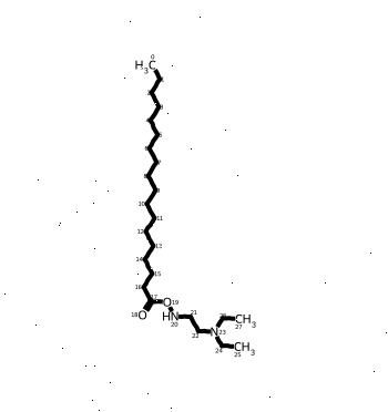 CCCCCCCCCCCCCCCCCC(=O)ONCCN(CC)CC